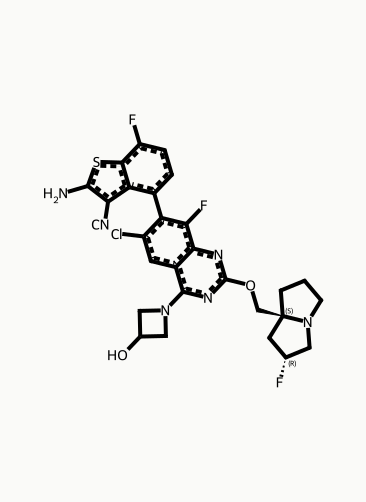 N#Cc1c(N)sc2c(F)ccc(-c3c(Cl)cc4c(N5CC(O)C5)nc(OC[C@@]56CCCN5C[C@H](F)C6)nc4c3F)c12